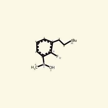 CB(O)c1cccc(CCC(C)(C)C)c1F